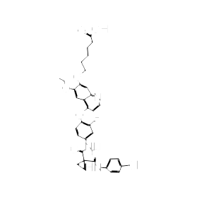 CCOc1cc2c(Oc3ccc(NC(=O)C4(C(=O)Nc5ccc(Cl)cc5)CC4)cc3F)ccnc2cc1OCCCCCC(=O)O